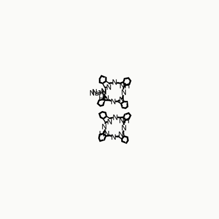 [NaH].[NaH].c1ccc2c(c1)-c1nc-2nc2[nH]c(nc3nc(nc4[nH]c(n1)c1ccccc41)-c1ccccc1-3)c1ccccc21.c1ccc2c(c1)-c1nc-2nc2[nH]c(nc3nc(nc4[nH]c(n1)c1ccccc41)-c1ccccc1-3)c1ccccc21